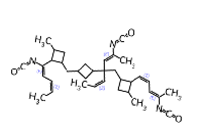 C/C=C\C=C(\N=C=O)C1C(C)CC1CC1CC(C(/C=C\C)(/C=C(\C)N=C=O)CC2CC(C)C2/C=C\C=C(/C)N=C=O)C1